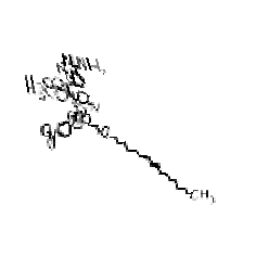 CCCCCCCCCCCCCCCCCCOCCCOP(=O)(OC[C@@H](OC#N)[C@H]1OC(C)(C)O[C@H]1c1ccc2c(N)ncnn12)Oc1ccc([N+](=O)[O-])cc1